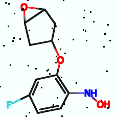 ONc1ccc(F)cc1OC1CC2OC2C1